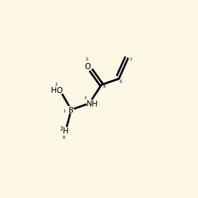 [2H]B(O)NC(=O)C=C